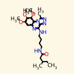 CCC(C)CC(=O)NCCCCNc1nc2cc(OC)c(OC)c(OC)c2n2c(C)nnc12